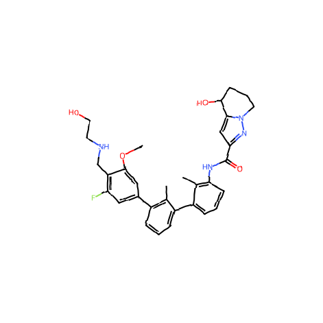 COc1cc(-c2cccc(-c3cccc(NC(=O)c4cc5n(n4)CCCC5O)c3C)c2C)cc(F)c1CNCCO